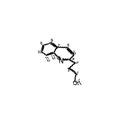 OCCCc1ccc2cc[c]cc2n1